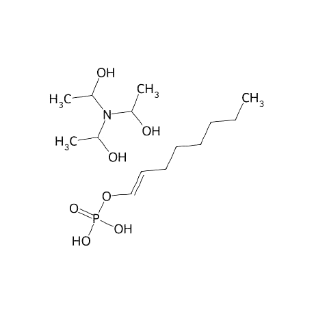 CC(O)N(C(C)O)C(C)O.CCCCCCC=COP(=O)(O)O